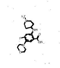 CN1CCC(Nc2cc(F)c(N3CCOCC3)cc2C(=O)O)CC1